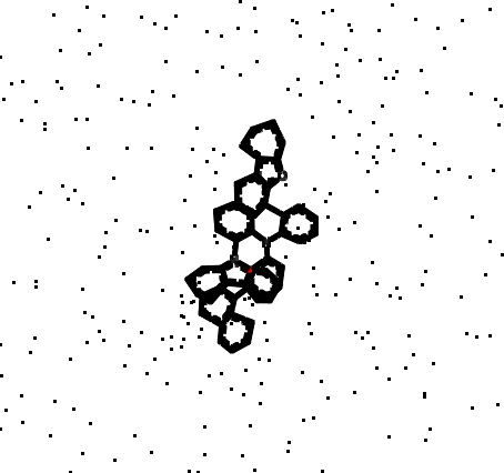 c1cc(-c2cccc3ccccc23)cc(N(c2ccccc2-c2cccc3c2oc2ccccc23)c2ccccc2-n2c3ccccc3c3ccccc32)c1